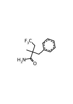 CC(Cc1ccccc1)(CC(F)(F)F)C(N)=O